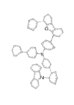 c1ccc(-c2ccc(N(c3ccc(-c4ccccc4-n4c5ccccc5c5ccccc54)cc3)c3ccc(-c4cccc5c4oc4c(-c6ccccc6)cccc45)cc3)cc2)cc1